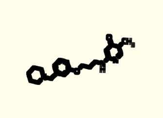 CC1C=NC(NCCCOc2cccc(CN3CCCCC3)c2)=CC1=O